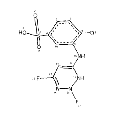 O=S(=O)(O)c1ccc(Cl)c(NC2=CC(F)=NN(F)N2)c1